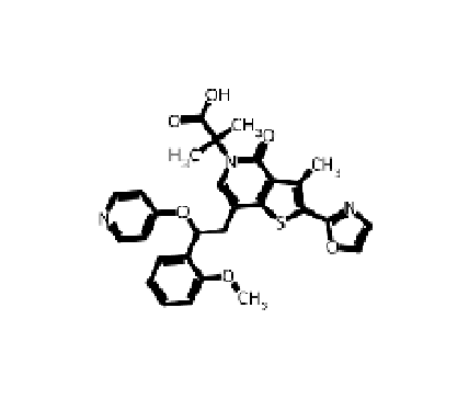 COc1ccccc1[C@H](Cc1cn(C(C)(C)C(=O)O)c(=O)c2c(C)c(-c3ncco3)sc12)Oc1ccncc1